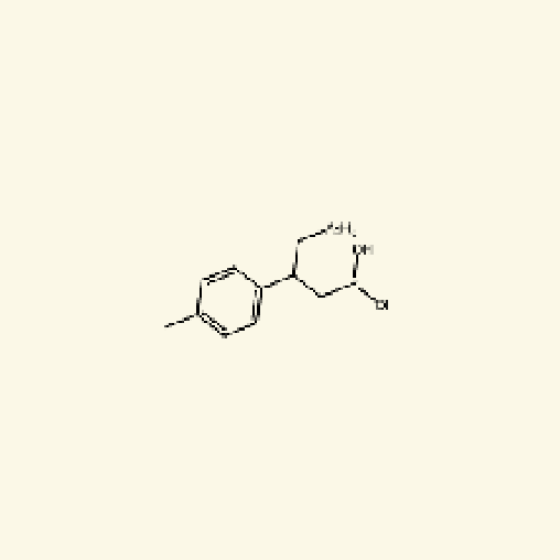 Cc1ccc(C(C[AsH2])CP(O)O)cc1